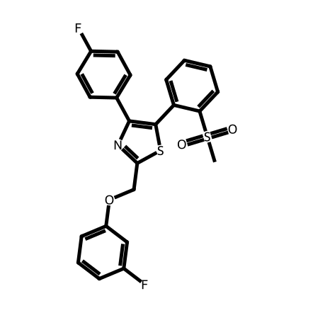 CS(=O)(=O)c1ccccc1-c1sc(COc2cccc(F)c2)nc1-c1ccc(F)cc1